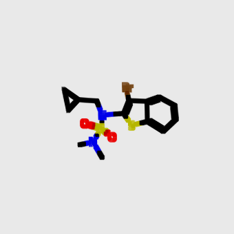 CN(C)S(=O)(=O)N(CC1CC1)c1sc2ccccc2c1Br